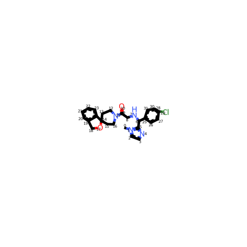 Cn1ccnc1C(NCC(=O)N1CCC2(CC1)OCc1ccccc12)c1ccc(Cl)cc1